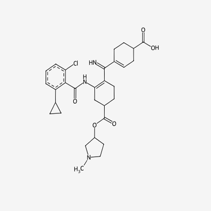 CN1CCC(OC(=O)C2CCC(C(=N)C3=CCC(C(=O)O)CC3)=C(NC(=O)c3c(Cl)cccc3C3CC3)C2)C1